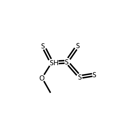 CO[SH](=S)=S(=S)=S=S